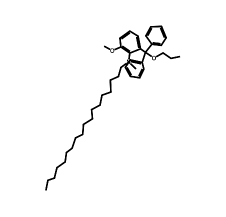 CCCCCCCCCCCCCCCCCCN(C)c1c(OC)cccc1C(OCCC)(c1ccccc1)c1ccccc1